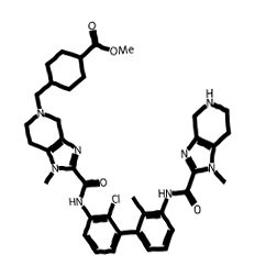 COC(=O)C1CCC(CN2CCc3c(nc(C(=O)Nc4cccc(-c5cccc(NC(=O)c6nc7c(n6C)CCNC7)c5C)c4Cl)n3C)C2)CC1